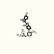 CCN(CC)C[C@H]1CN(c2ccc3nc(-c4n[nH]c5cc(Cl)ccc45)[nH]c3c2)[C@@H](C)CO1